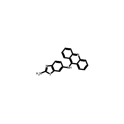 Nc1nc2ccc(Nc3c4ccccc4nc4ccccc34)cc2s1